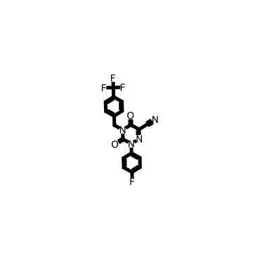 N#Cc1nn(-c2ccc(F)cc2)c(=O)n(Cc2ccc(C(F)(F)F)cc2)c1=O